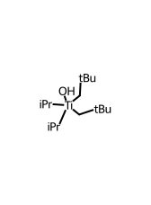 C[CH](C)[Ti]([OH])([CH2]C(C)(C)C)([CH2]C(C)(C)C)[CH](C)C